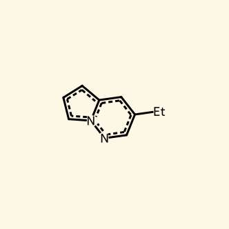 CCc1cnn2cccc2c1